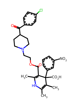 CC1=C(C)C(C(=O)O)(c2cccc([N+](=O)[O-])c2)C(C(=O)OCCN2CCC(C(=O)c3ccc(Cl)cc3)CC2)=C(C)N1